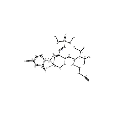 COP(=O)(/C=C/[C@@]12C[C@@H](OCC1OP(OCCC#N)N(C(C)C)C(C)C)[C@H](n1ccc(=O)[nH]c1=O)O2)OC